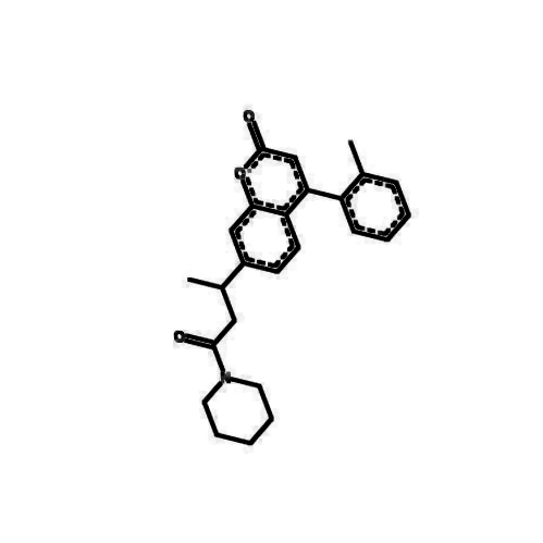 Cc1ccccc1-c1cc(=O)oc2cc(C(C)CC(=O)N3CCCCC3)ccc12